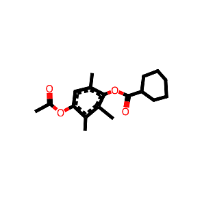 CC(=O)Oc1cc(C)c(OC(=O)C2CCCCC2)c(C)c1C